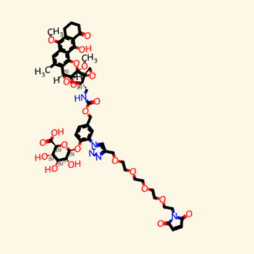 COc1c2c(c(O)c3c4c(c(C)cc13)[C@@H]1O[C@]3(CNC(=O)OCc5ccc(O[C@@H]6O[C@H](C(=O)O)[C@@H](O)[C@H](O)[C@H]6O)c(-n6cc(COCCOCCOCCOCCN7C(=O)C=CC7=O)nn6)c5)O[C@H]1[C@@](OC)(O4)[C@@]31CO1)C(=O)CCC2